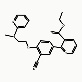 CCOC(=O)c1cccnc1-c1ccc(OCCN(C)c2ccccn2)c(C#N)c1